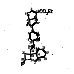 CCOC(=O)c1csc2nc(-c3ccc(NC[C@]4(c5ncccc5F)C[C@H](F)C4)nn3)cn12